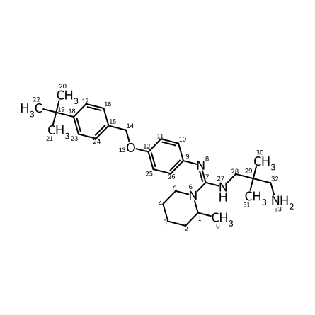 CC1CCCCN1/C(=N\c1ccc(OCc2ccc(C(C)(C)C)cc2)cc1)NCC(C)(C)CN